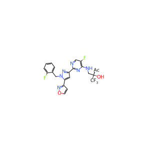 CC(=O)[C@](O)(CNc1nc(-c2cc(-c3ccon3)n(Cc3ccccc3F)n2)ncc1F)C(F)(F)F